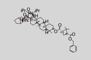 Cc1nnc(C(C)C)n1C1CC2CCC(C1)N2C(=O)N[C@@]12CC[C@]3(C)[C@H](CC[C@@H]4[C@@]5(C)CC[C@H](OC(=O)[C@H]6C[C@@H](C(=O)OCc7ccccc7)C6(C)C)C(C)(C)[C@@H]5CC[C@]43C)C1=C(C(C)C)C(=O)C2